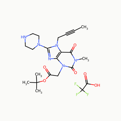 CC#CCn1c(N2CCNCC2)nc2c1c(=O)n(C)c(=O)n2CC(=O)OC(C)(C)C.O=C(O)C(F)(F)F